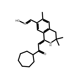 Cc1cc2c(cc1C=NO)C(=CC(=O)C1CCCCCC1)NC(C)(C)C2